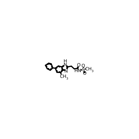 Cc1cc(-c2ccccc2)cc2[nH]c(CCC(=O)NS(C)(=O)=O)nc12